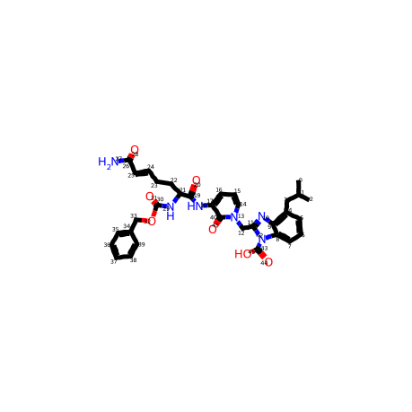 CC(C)Cc1cccc2c1nc(Cn1cccc(NC(=O)C(CCC=CC(N)=O)NC(=O)OCc3ccccc3)c1=O)n2C(=O)O